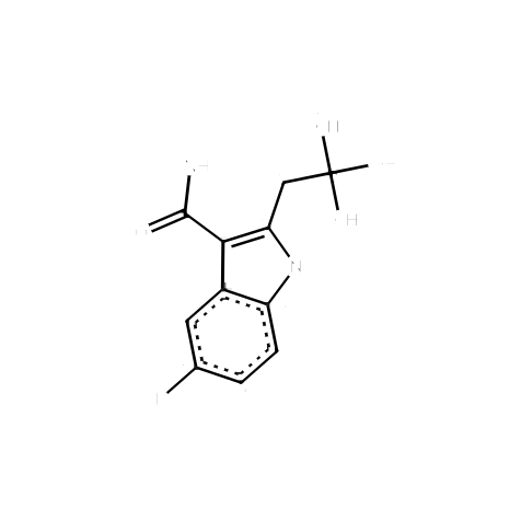 CC(C)(O)CC1=C(C(N)=O)c2cc(F)ccc2[N]1